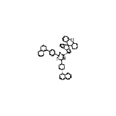 c1ccc2c(c1)Oc1ccccc1C21c2ccccc2-c2c(-c3nc(-c4ccc(-c5cccc6ccccc56)cc4)nc(-c4ccc(-c5cccc6ccccc56)cc4)n3)cccc21